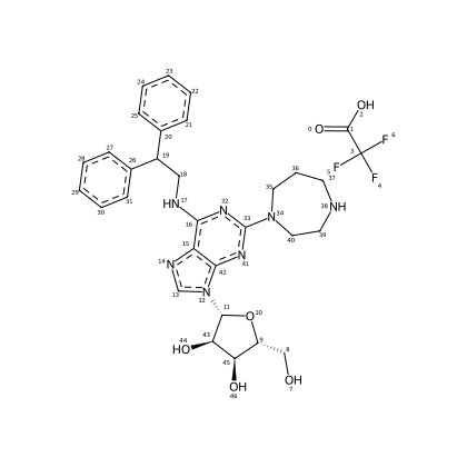 O=C(O)C(F)(F)F.OC[C@H]1O[C@@H](n2cnc3c(NCC(c4ccccc4)c4ccccc4)nc(N4CCCNCC4)nc32)[C@H](O)[C@@H]1O